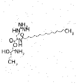 C=CC[C@@H](O)[C@H](N)COC(=O)C(CCNC(=N)N)NC(=O)CCCCCCCCCCCCCCC